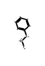 [F][Sn][S]c1ccccc1